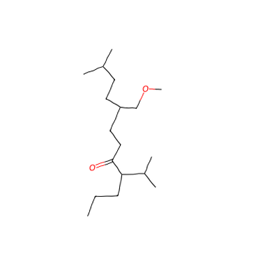 CCCC(C(=O)CCC(CCC(C)C)COC)C(C)C